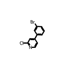 Clc1cc(-c2cccc(Br)c2)ccn1